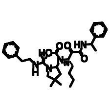 CCCC[C@@H](C(=O)C(=O)NC(C)c1ccccc1)N(C(=O)O)C1CC(C)(C)CN1C(=O)NCCc1ccccc1